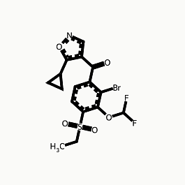 CCS(=O)(=O)c1ccc(C(=O)c2cnoc2C2CC2)c(Br)c1OC(F)F